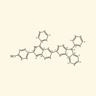 N#Cc1ccc(-c2nc(-c3ccccc3)c3cc(-c4ccc5c(c4)c4ccccc4n5-c4ccccc4)ccc3n2)cc1